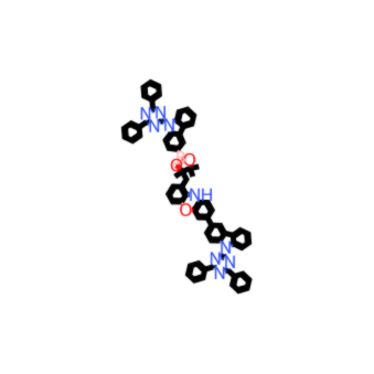 CC1(C)OB(c2ccc3c(c2)c2ccccc2n3-c2nc(-c3ccccc3)nc(-c3ccccc3)n2)OC1(C)Cc1cccc2c1Nc1ccc(-c3ccc4c(c3)c3ccccc3n4-c3nc(-c4ccccc4)nc(-c4ccccc4)n3)cc1O2